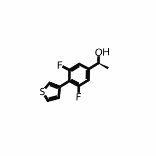 C[C@H](O)c1cc(F)c(-c2ccsc2)c(F)c1